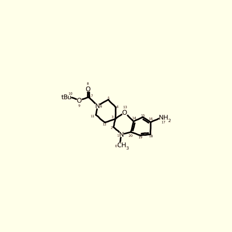 CN1CC2(CCN(C(=O)OC(C)(C)C)CC2)Oc2cc(N)ccc21